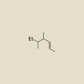 C/C=C/C(C)C(C)CC